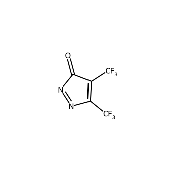 O=C1N=NC(C(F)(F)F)=C1C(F)(F)F